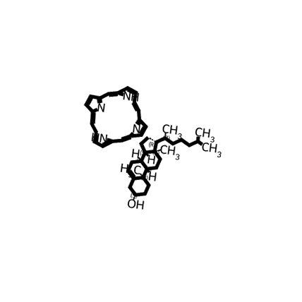 C1=Cc2cc3ccc(cc4nc(cc5ccc(cc1n2)[nH]5)C=C4)[nH]3.CC(C)CCC[C@@H](C)[C@H]1CC[C@H]2[C@@H]3CC=C4C[C@@H](O)CC[C@]4(C)[C@H]3CC[C@]12C